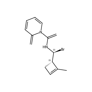 C=C1C=CC=CN1C(=C)N[C@@H](Br)[C@H]1CC=C1C